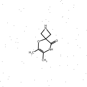 CC1=C(C)OC2(CNC2)C(=O)N1